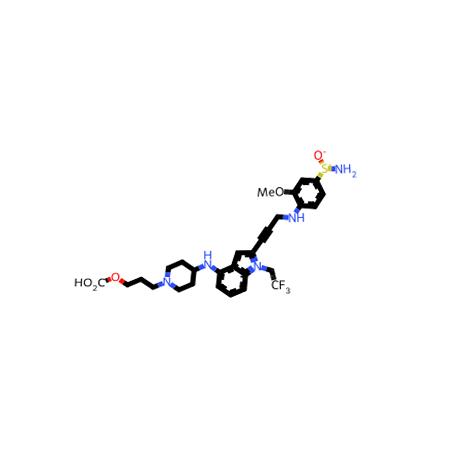 COc1cc([S+](N)[O-])ccc1NCC#Cc1cc2c(NC3CCN(CCCOC(=O)O)CC3)cccc2n1CC(F)(F)F